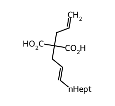 C=CCC(C/C=C/CCCCCCC)(C(=O)O)C(=O)O